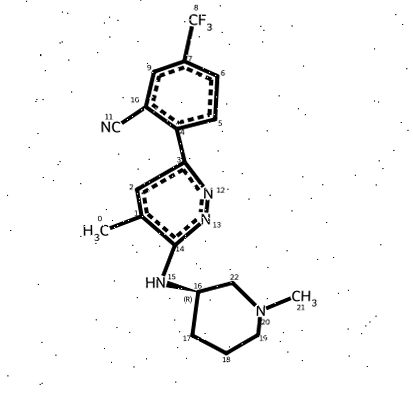 Cc1cc(-c2ccc(C(F)(F)F)cc2C#N)nnc1N[C@@H]1CCCN(C)C1